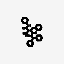 O=C(NC1CCCCC1)C1C(=O)NC(C(c2ccccc2)c2ccccc2)C(=O)N1Cc1ccccc1